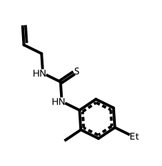 C=CCNC(=S)Nc1ccc(CC)cc1C